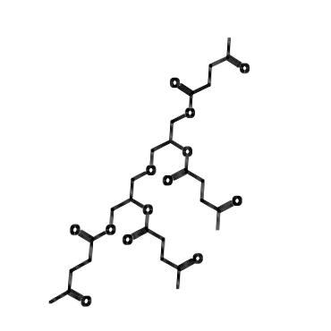 CC(=O)CCC(=O)OCC(COCC(COC(=O)CCC(C)=O)OC(=O)CCC(C)=O)OC(=O)CCC(C)=O